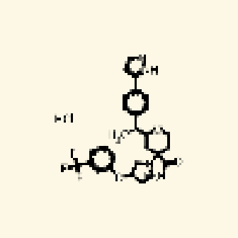 C[C@@H](c1ccc(-c2ccn[nH]2)cc1)C1CC(C(N)=O)(N2CCC(Oc3cccc(C(F)(F)F)c3)C2)CCO1.Cl